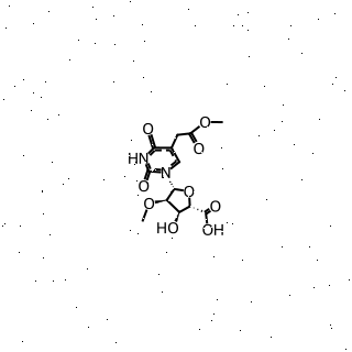 COC(=O)Cc1cn([C@@H]2O[C@H](C(=O)O)[C@@H](O)[C@H]2OC)c(=O)[nH]c1=O